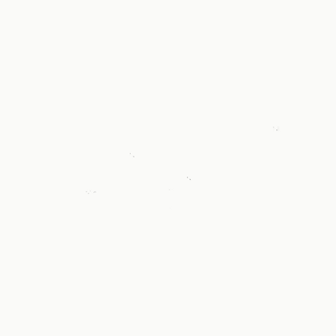 COc1ccccc1-c1ccc(C(=O)NCc2ccc3[nH]c(C(F)(F)F)cc3c2)cn1